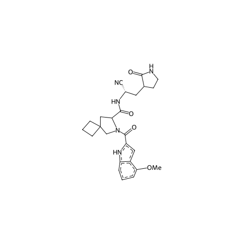 COc1cccc2[nH]c(C(=O)N3CC4(CCC4)CC3C(=O)N[C@H](C#N)CC3CCNC3=O)cc12